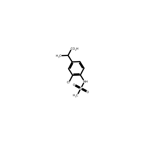 CC(C(=O)O)c1ccc(NS(C)(=O)=O)c(Cl)c1